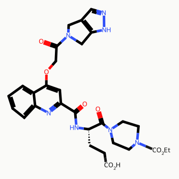 CCOC(=O)N1CCN(C(=O)[C@H](CCC(=O)O)NC(=O)c2cc(OCC(=O)N3Cc4cn[nH]c4C3)c3ccccc3n2)CC1